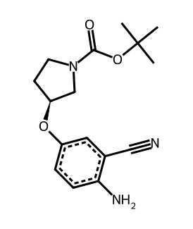 CC(C)(C)OC(=O)N1CC[C@H](Oc2ccc(N)c(C#N)c2)C1